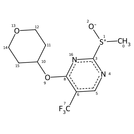 C[S+]([O-])c1ncc(C(F)(F)F)c(OC2CCOCC2)n1